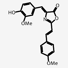 COc1ccc(/C=C/C2=NC(=C\c3ccc(O)c(OC)c3)/C(=O)O2)cc1